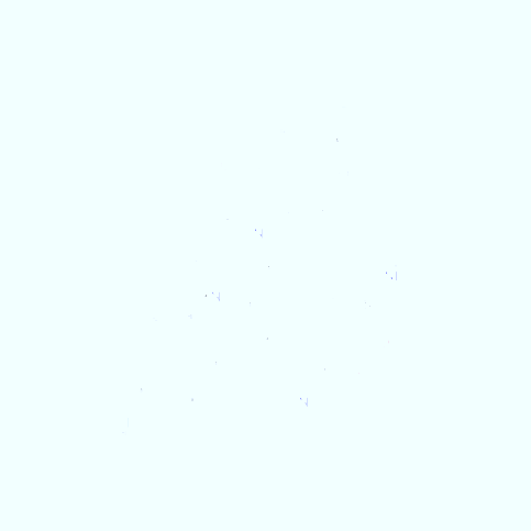 NC(=O)c1cc2c(cc1C(N)=O)N(c1ccc(F)cc1)C(CO)CN2c1ccc(F)cc1